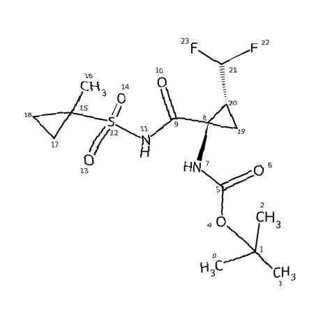 CC(C)(C)OC(=O)N[C@]1(C(=O)NS(=O)(=O)C2(C)CC2)C[C@H]1C(F)F